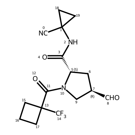 N#CC1(NC(=O)[C@@H]2C[C@@H](C=O)CN2C(=O)C2(C(F)(F)F)CCC2)CC1